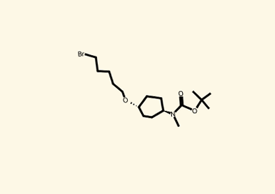 CN(C(=O)OC(C)(C)C)[C@H]1CC[C@H](OCCCCCBr)CC1